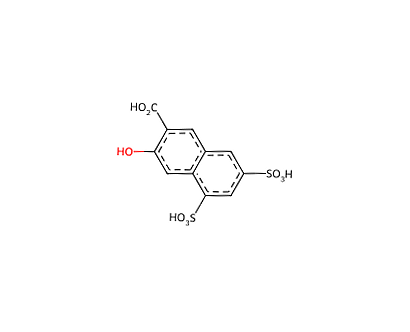 O=C(O)c1cc2cc(S(=O)(=O)O)cc(S(=O)(=O)O)c2cc1O